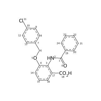 O=C(Nc1c(OCc2ccc(Cl)cc2)cccc1C(=O)O)c1ccccc1